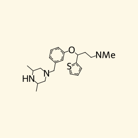 CNCCC(Oc1cccc(CN2CC(C)NC(C)C2)c1)c1cccs1